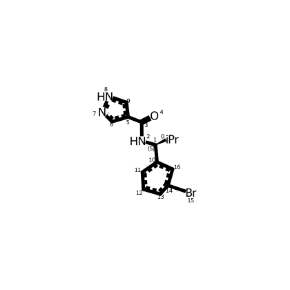 CC(C)[C@H](NC(=O)c1cn[nH]c1)c1cccc(Br)c1